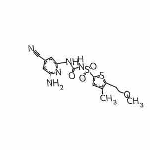 COCCc1sc(S(=O)(=O)NC(=O)Nc2cc(C#N)cc(N)n2)cc1C